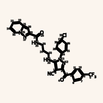 N#Cc1c(C(=O)c2ccc(C(F)(F)F)cc2)nn(-c2ccc(Cl)cc2)c1NCCCNC(=O)c1cc2ccccn2n1